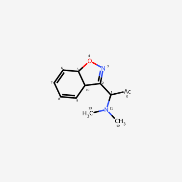 CC(=O)C(C1=NOC2C=CC=CC12)N(C)C